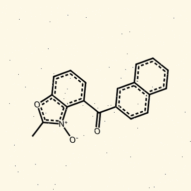 Cc1oc2cccc(C(=O)c3ccc4ccccc4c3)c2[n+]1[O-]